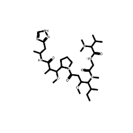 CCC(C)C(C(CC(=O)N1CCCC1C(OC)C(C)C(=O)NC(C)Cc1nc[nH]n1)OC)N(C)C(=O)CNC(=O)C(C(C)C)N(C)C